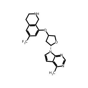 Cc1ncnc2c1ccn2[C@@H]1CC(Oc2cc(C(F)(F)F)cc3c2CNCC3)CO1